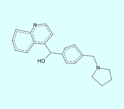 OC(c1ccc(CN2CCCC2)cc1)c1ccnc2ccccc12